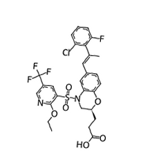 CCOc1ncc(C(F)(F)F)cc1S(=O)(=O)N1C[C@H](CCC(=O)O)Oc2ccc(/C=C(\C)c3c(F)cccc3Cl)cc21